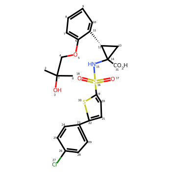 CC(C)(O)COc1ccccc1[C@@H]1CC1(NS(=O)(=O)c1ccc(-c2ccc(Cl)cc2)s1)C(=O)O